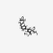 NC(=O)c1sc(-c2ccc(CN3CCOCC3)cc2)cc1N